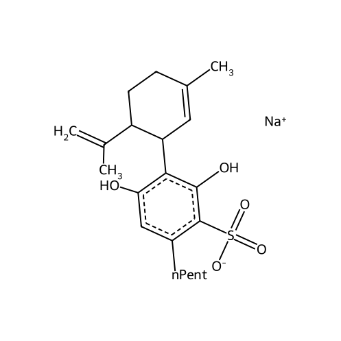 C=C(C)C1CCC(C)=CC1c1c(O)cc(CCCCC)c(S(=O)(=O)[O-])c1O.[Na+]